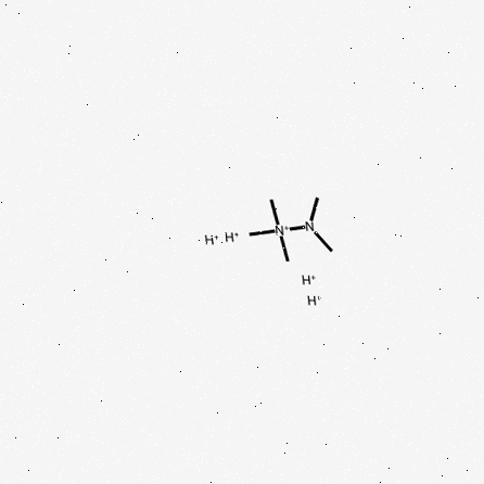 CN(C)[N+](C)(C)C.[H+].[H+].[H+].[H+]